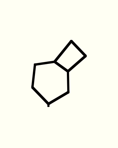 [CH]1CCC2CCC2C1